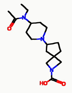 CCN(C(C)=O)C1CCN(C2CCC3(C2)CN(C(=O)O)C3)CC1